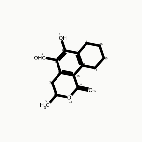 CC1Cc2c(C=O)c(O)c3c(c2C(=O)O1)CCCC3